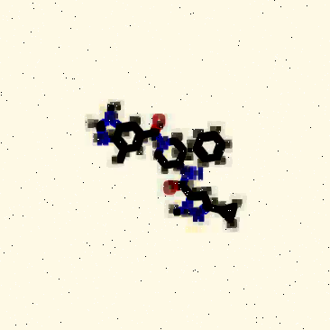 Cc1cc(C(=O)N2CC[C@@H](NC(=O)c3cc(C4CC4)nn3C)[C@@H](c3ccccc3)C2)cc2c1ncn2C